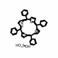 C1=Cc2nc1c(-c1ccccc1)c1ccc([nH]1)c(-c1ccccc1)c1nc(c(-c3ccccc3)c3ccc([nH]3)c2-c2ccccc2)C=C1.O=S(=O)(O)O